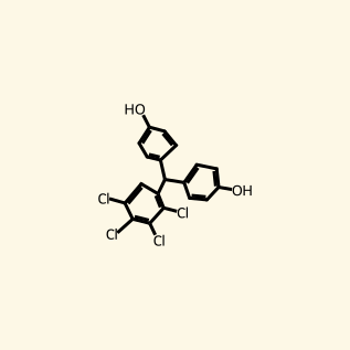 Oc1ccc(C(c2ccc(O)cc2)c2cc(Cl)c(Cl)c(Cl)c2Cl)cc1